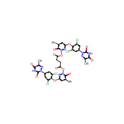 CC(C)c1cc(Oc2c(Cl)cc(-n3nc(C#N)c(=O)[nH]c3=O)cc2Cl)nn(OC(=O)CCC(=O)On2nc(Oc3c(Cl)cc(-n4nc(C#N)c(=O)[nH]c4=O)cc3Cl)cc(C(C)C)c2=O)c1=O